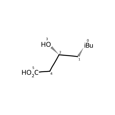 CC[C@@H](C)C[C@@H](O)CC(=O)O